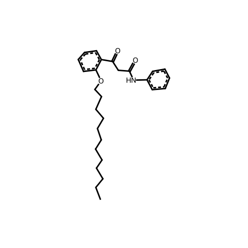 CCCCCCCCCCCCOc1ccccc1C(=O)CC(=O)Nc1ccccc1